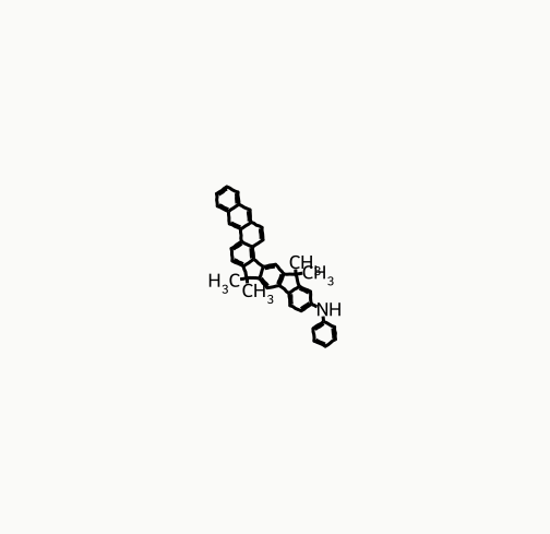 CC1(C)c2cc(Nc3ccccc3)ccc2-c2cc3c(cc21)-c1c(ccc2c1ccc1cc4ccccc4cc12)C3(C)C